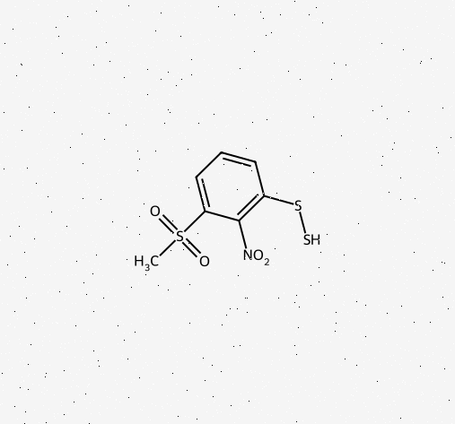 CS(=O)(=O)c1cccc(SS)c1[N+](=O)[O-]